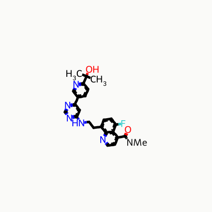 CNC(=O)c1ccnc2c(CCNc3cc(-c4ccc(C(C)(C)O)nc4)ncn3)ccc(F)c12